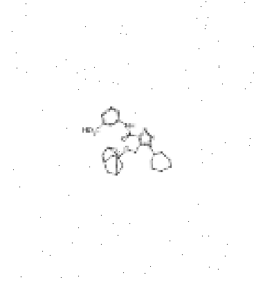 O=C(O)c1cccc(NC(=O)c2nnn(C3CCCCCC3)c2COC23CC4CC(CC(C4)C2)C3)c1